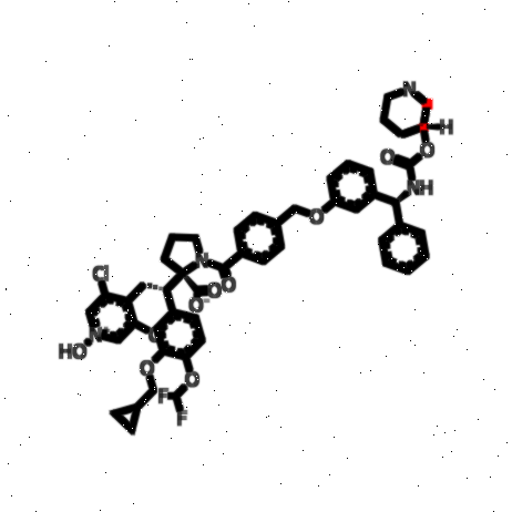 O=C(N[C@@H](c1ccccc1)c1cccc(OCc2ccc(C(=O)N3CCC[C@@]3(C(=O)[O-])[C@@H](Cc3c(Cl)c[n+](O)cc3Cl)c3ccc(OC(F)F)c(OCC4CC4)c3)cc2)c1)O[C@H]1CN2CCC1CC2